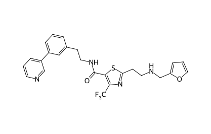 O=C(NCCc1cccc(-c2cccnc2)c1)c1sc(CCNCc2ccco2)nc1C(F)(F)F